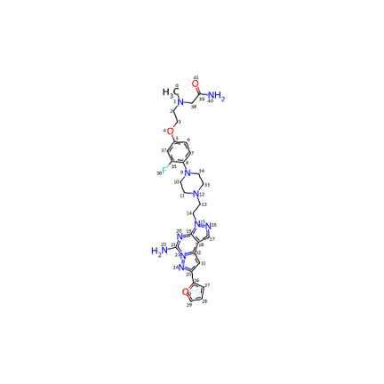 CN(CCOc1ccc(N2CCN(CCn3ncc4c3nc(N)n3nc(-c5ccco5)cc43)CC2)c(F)c1)CC(N)=O